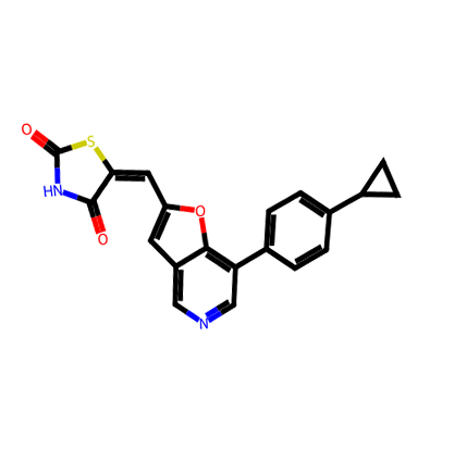 O=C1NC(=O)/C(=C\c2cc3cncc(-c4ccc(C5CC5)cc4)c3o2)S1